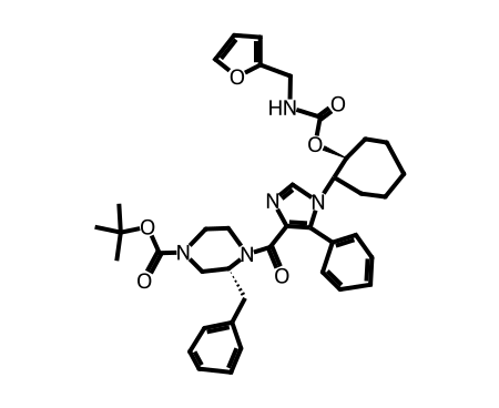 CC(C)(C)OC(=O)N1CCN(C(=O)c2ncn(C3CCCCC[C@@H]3OC(=O)NCc3ccco3)c2-c2ccccc2)[C@H](Cc2ccccc2)C1